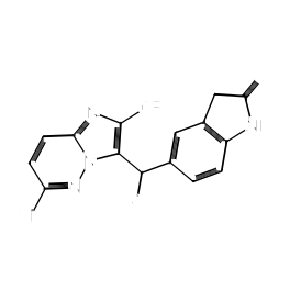 O=C1Cc2cc(C(Cl)c3c(C(F)(F)F)nc4ccc(Cl)nn34)ccc2N1